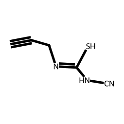 C#CCN=C(S)NC#N